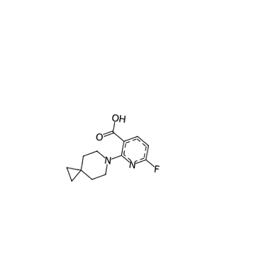 O=C(O)c1ccc(F)nc1N1CCC2(CC1)CC2